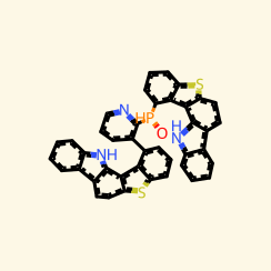 O=[PH](c1ncccc1-c1cccc2sc3ccc4c5ccccc5[nH]c4c3c12)c1cccc2sc3ccc4c5ccccc5[nH]c4c3c12